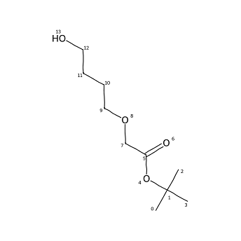 CC(C)(C)OC(=O)COCCCCO